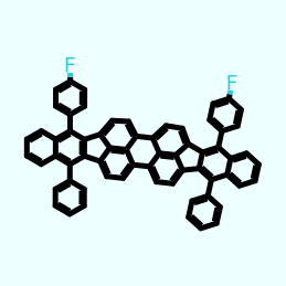 Fc1ccc(-c2c3c(c(-c4ccccc4)c4ccccc24)-c2ccc4c5ccc6c7c(ccc(c8ccc-3c2c48)c75)-c2c-6c(-c3ccccc3)c3ccccc3c2-c2ccc(F)cc2)cc1